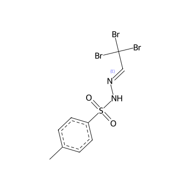 Cc1ccc(S(=O)(=O)N/N=C/C(Br)(Br)Br)cc1